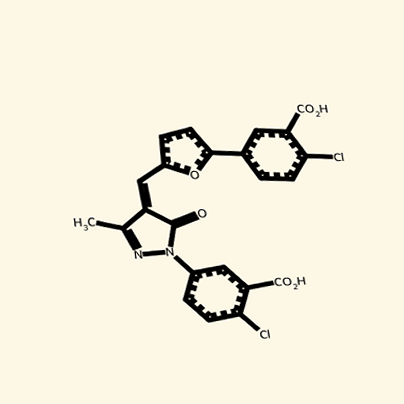 CC1=NN(c2ccc(Cl)c(C(=O)O)c2)C(=O)/C1=C\c1ccc(-c2ccc(Cl)c(C(=O)O)c2)o1